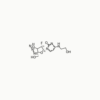 [N-]=[N+]=N[C@]1(CO)O[C@@H](n2ccc(NCCO)nc2=O)[C@@H](F)C1O